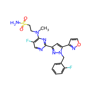 CN(CCS(N)(=O)=O)c1nc(-c2cc(-c3ccon3)n(Cc3ccccc3F)n2)ncc1F